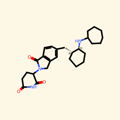 O=C1CCC(N2Cc3cc(C[C@H]4CCCC[C@@H]4NC4CCCCCC4)ccc3C2=O)C(=O)N1